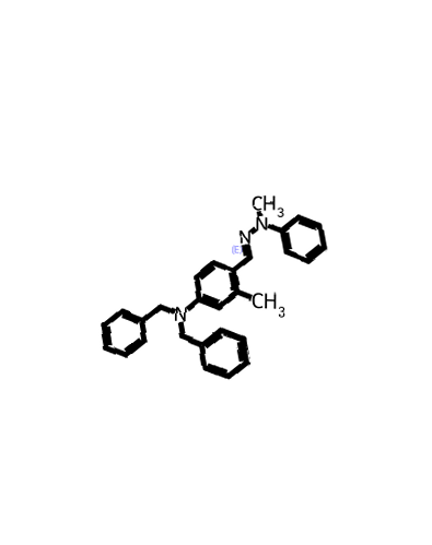 Cc1cc(N(Cc2ccccc2)Cc2ccccc2)ccc1/C=N/N(C)c1ccccc1